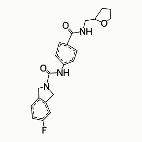 O=C(NCC1CCCO1)c1ccc(NC(=O)N2Cc3ccc(F)cc3C2)cc1